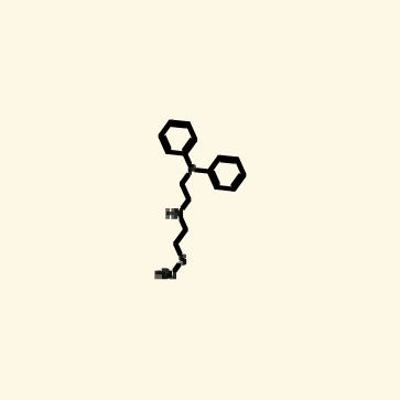 CCCCSCCNCCP(c1ccccc1)c1ccccc1